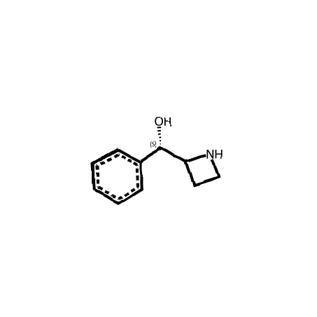 O[C@@H](c1ccccc1)C1CCN1